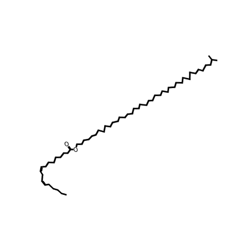 CCCCC/C=C\C/C=C\CCCCCCCC(=O)OCCCCCCCCCCCCCCCCCCCCCCCCCCCCCCCCCCCCCCC(C)C